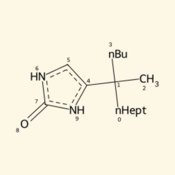 CCCCCCCC(C)(CCCC)c1c[nH]c(=O)[nH]1